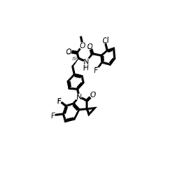 COC(=O)[C@H](Cc1ccc(N2C(=O)C3(CC3)c3ccc(F)c(F)c32)cc1)NC(=O)c1c(F)cccc1Cl